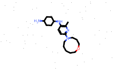 Cc1nc(N2CCCCCOCCC2)ccc1NC1CCC(N)CC1